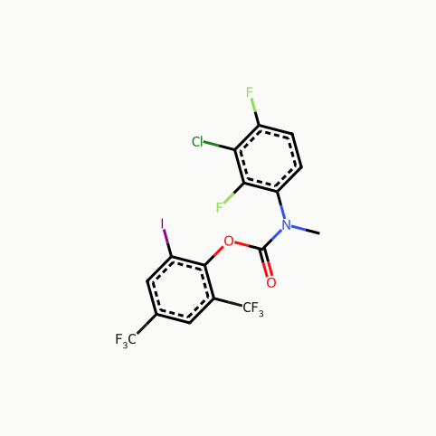 CN(C(=O)Oc1c(I)cc(C(F)(F)F)cc1C(F)(F)F)c1ccc(F)c(Cl)c1F